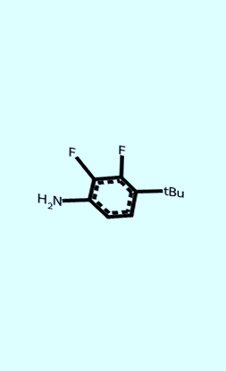 CC(C)(C)c1ccc(N)c(F)c1F